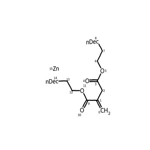 C=C(CC(=O)OCCCCCCCCCCCC)C(=O)OCCCCCCCCCCCC.[Zn]